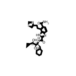 NC(=O)c1ccc2nc(C(=O)N[C@@H](CC3CCCCC3)[C@@H](O)[C@@H](O)C3CC3)[nH]c2c1CCc1cscn1